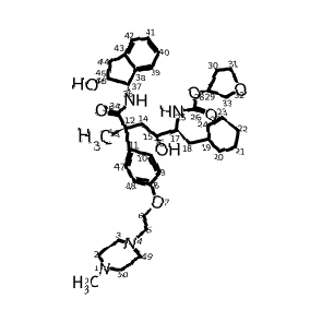 CN1CCN(CCOc2ccc([C@@](C)(C[C@H](O)[C@H](CC3CCCCC3)NC(=O)O[C@H]3CCOC3)C(=O)N[C@H]3c4ccccc4C[C@H]3O)cc2)CC1